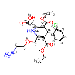 CCOC(=O)C1=C(COCCN)NC(C)=C(C(=O)OC)[C@@H]1c1ccccc1Cl.O=CO